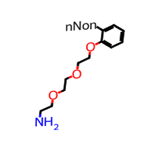 CCCCCCCCCc1ccccc1OCCOCCOCCN